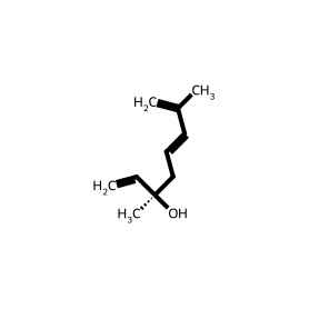 C=C[C@](C)(O)C/C=C/C(=C)C